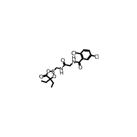 CCC1(CC)OB(CNC(=O)CNC(=O)c2cc(Cl)ccc2Cl)OC1=O